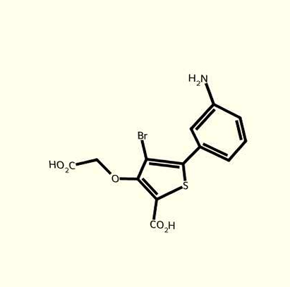 Nc1cccc(-c2sc(C(=O)O)c(OCC(=O)O)c2Br)c1